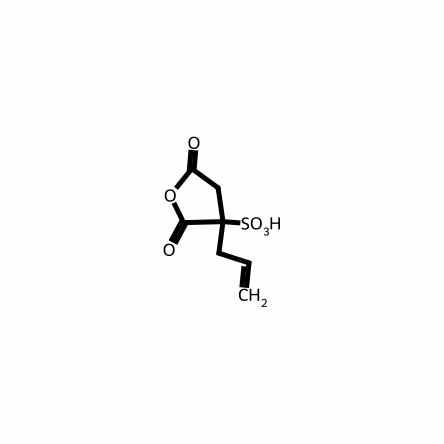 C=CCC1(S(=O)(=O)O)CC(=O)OC1=O